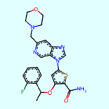 CC(Oc1cc(-n2cnc3cc(CN4CCOCC4)ncc32)sc1C(N)=O)c1ccccc1F